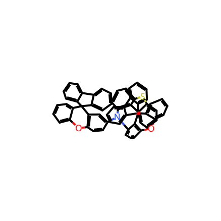 c1ccc2c(c1)Oc1ccc(N(c3cccc4c3C3(c5ccccc5O4)c4ccccc4-c4ccccc43)c3cccc4sc5ccccc5c34)cc1C21c2ccccc2-c2ccccc21